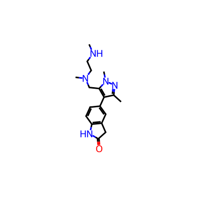 CNCCN(C)Cc1c(-c2ccc3c(c2)CC(=O)N3)c(C)nn1C